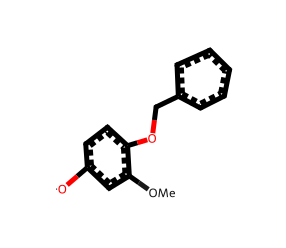 COc1cc([O])ccc1OCc1ccccc1